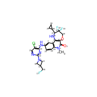 Cn1c(=O)c2c(c3cc(Nc4nc(N5CC(CF)C5)ncc4Cl)ccc31)NC(C1CC1)C(F)(F)CO2